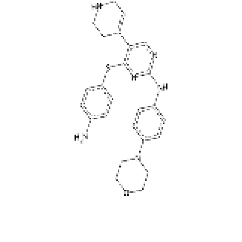 Nc1ccc(Sc2nc(Nc3ccc(N4CCOCC4)cc3)ncc2C2=CCNCC2)cc1